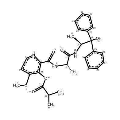 COc1ccnc(C(=O)N[C@@H](C)C(=O)N[C@@H](C)C(O)(c2ccccc2)c2ccccc2)c1OC(=O)C(C)C